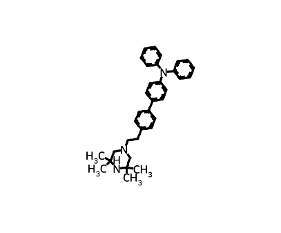 CC1(C)CN(CCc2ccc(-c3ccc(N(c4ccccc4)c4ccccc4)cc3)cc2)CC(C)(C)N1